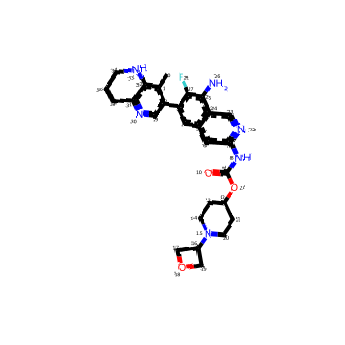 Cc1c(-c2cc3cc(NC(=O)OC4CCN(C5COC5)CC4)ncc3c(N)c2F)cnc2c1NCCC2